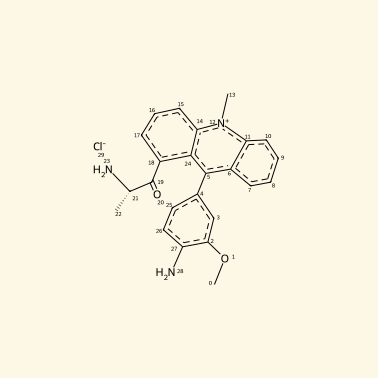 COc1cc(-c2c3ccccc3[n+](C)c3cccc(C(=O)[C@H](C)N)c23)ccc1N.[Cl-]